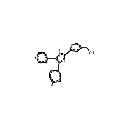 CCc1csc(-c2nc(-c3ccc(F)cc3)c(-c3ccncc3)[nH]2)c1